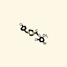 Cc1cc(Br)cc(Cl)c1OCC(=O)N1CCN(Cc2ccc(Cl)cc2)CC1